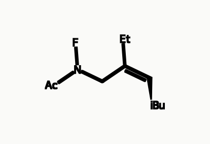 CC/C(=C/[C@H](C)CC)CN(F)C(C)=O